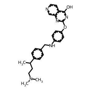 CC(CCN(C)C)c1ccc(CNc2ccc(Oc3nc(O)c4ccncc4n3)cc2)cc1